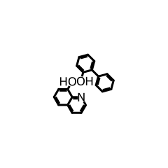 Oc1cccc2cccnc12.Oc1ccccc1-c1ccccc1